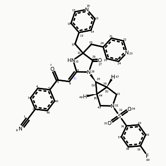 N#Cc1ccc(C(=O)/C=C2\NC(Cc3ccncc3)(Cc3ccncc3)C(=O)N2[C@H]2[C@@H]3CN(S(=O)(=O)c4ccc(F)cc4)C[C@@H]32)cc1